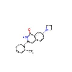 O=c1[nH]c(-c2ccccc2C(F)(F)F)cc2ccc(N3CCC3)cc12